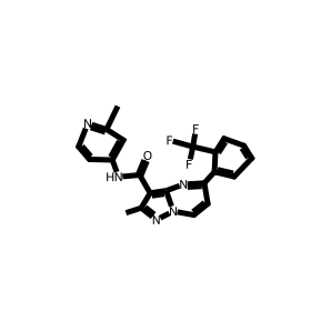 Cc1cc(NC(=O)c2c(C)nn3ccc(-c4ccccc4C(F)(F)F)nc23)ccn1